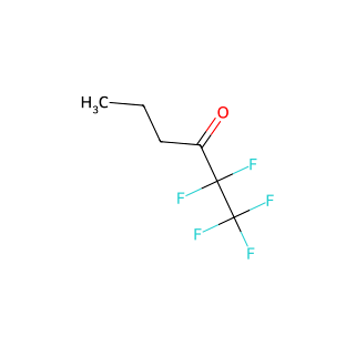 CCCC(=O)C(F)(F)C(F)(F)F